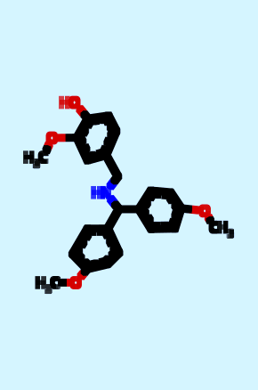 COc1ccc(C(NCc2ccc(O)c(OC)c2)c2ccc(OC)cc2)cc1